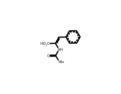 CC(C)(C)C(=O)N/C(=C\c1ccccc1)C(=O)O